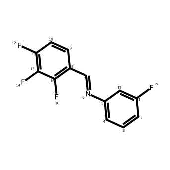 Fc1cccc(N=Cc2ccc(F)c(F)c2F)c1